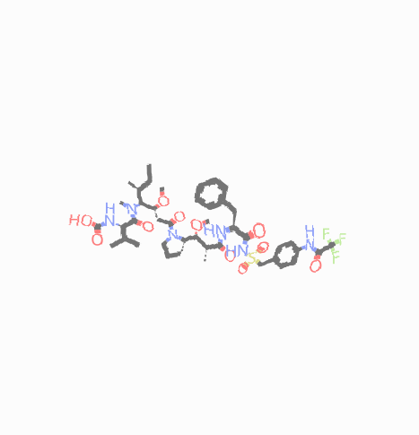 CC[C@H](C)[C@@H]([C@@H](CC(=O)N1CCC[C@H]1[C@H](OC)[C@@H](C)C(=O)N[C@@H](Cc1ccccc1)C(=O)NS(=O)(=O)Cc1ccc(NC(=O)C(F)(F)F)cc1)OC)N(C)C(=O)[C@@H](NC(=O)O)C(C)C